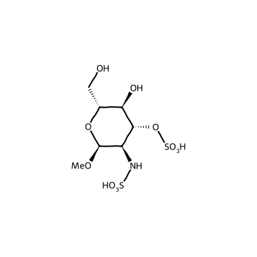 CO[C@H]1O[C@H](CO)[C@@H](O)[C@H](OS(=O)(=O)O)[C@H]1NS(=O)(=O)O